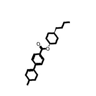 CCCC[C@H]1CC[C@H](OC(=O)c2ccc(C3=CCC(C)CC3)cc2)CC1